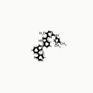 Cc1cnc(Nc2cc(C)n(C)n2)nc1-c1c[nH]c2c(N3Cc4cccc(-c5c(F)cncc5F)c4C3)cccc12